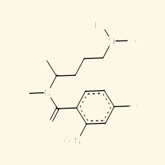 CCN(CC)CCCC(C)N(C)C(=S)c1ccc(Cl)cc1[N+](=O)[O-]